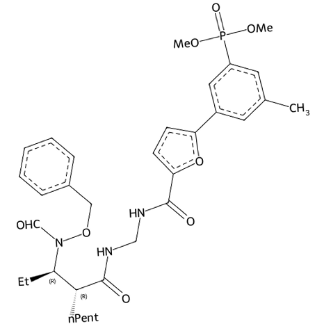 CCCCC[C@@H](C(=O)NCNC(=O)c1ccc(-c2cc(C)cc(P(=O)(OC)OC)c2)o1)[C@@H](CC)N(C=O)OCc1ccccc1